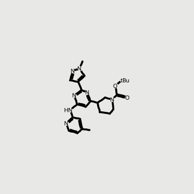 Cc1ccnc(Nc2cc(C3CCCN(C(=O)OC(C)(C)C)C3)nc(-c3cnn(C)c3)n2)c1